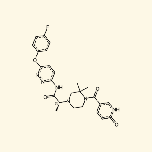 C[C@@H](C(=O)Nc1ccc(Oc2ccc(F)cc2)nn1)N1CCN(C(=O)c2ccc(=O)[nH]c2)C(C)(C)C1